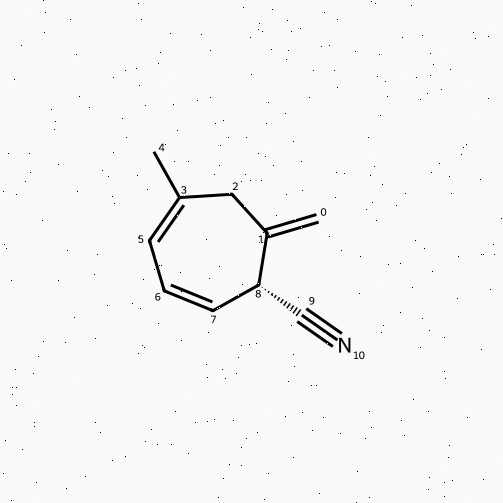 C=C1CC(C)=CC=C[C@H]1C#N